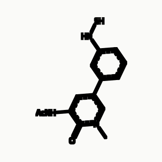 CC(=O)Nc1cc(-c2cccc(NS)c2)cn(C)c1=O